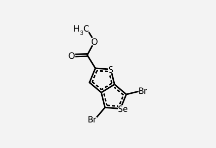 COC(=O)c1cc2c(Br)[se]c(Br)c2s1